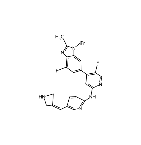 Cc1nc2c(F)cc(-c3nc(Nc4ccc(C=C5CNC5)cn4)ncc3F)cc2n1C(C)C